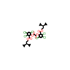 O=C(Oc1c(Cl)cc(Cl)c(Cl)c1C(=O)OCCC(C1CC1)C1CC1)C(=O)Oc1c(Cl)cc(Cl)c(Cl)c1C(=O)OCCC(C1CC1)C1CC1